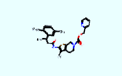 COc1ccc(C)cc1C(C)CC(=O)Nc1sc2c(c1C#N)CCN(C(=O)OCc1ccccn1)C2